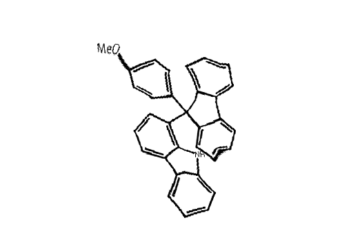 COc1ccc(C2(c3cccc4c3[nH]c3ccccc34)c3ccccc3-c3ccccc32)cc1